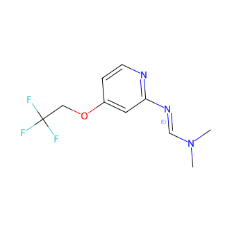 CN(C)/C=N/c1cc(OCC(F)(F)F)ccn1